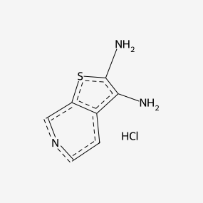 Cl.Nc1sc2cnccc2c1N